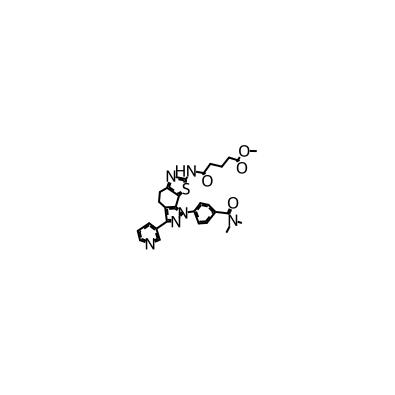 COC(=O)CCCC(=O)Nc1nc2c(s1)-c1c(c(-c3cccnc3)nn1-c1ccc(C(=O)N(C)C)cc1)CC2